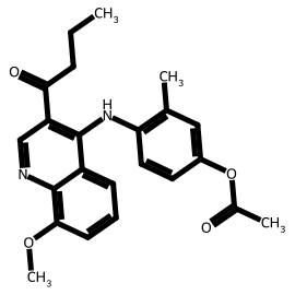 CCCC(=O)c1cnc2c(OC)cccc2c1Nc1ccc(OC(C)=O)cc1C